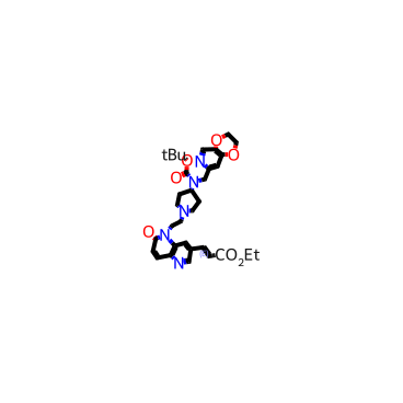 CCOC(=O)/C=C/c1cnc2ccc(=O)n(CCN3CCC(N(Cc4cc5c(cn4)OCCO5)C(=O)OC(C)(C)C)CC3)c2c1